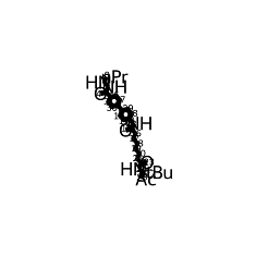 CCCNNC(=O)c1ccc(-c2ccc(NC(=O)CCCCCCC(=O)NC(C(C)=O)C(C)(C)C)cc2)cc1